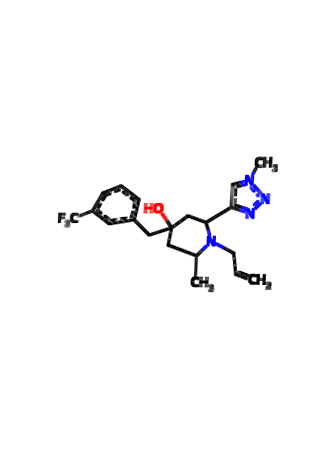 C=CCN1C(C)CC(O)(Cc2cccc(C(F)(F)F)c2)CC1c1cn(C)nn1